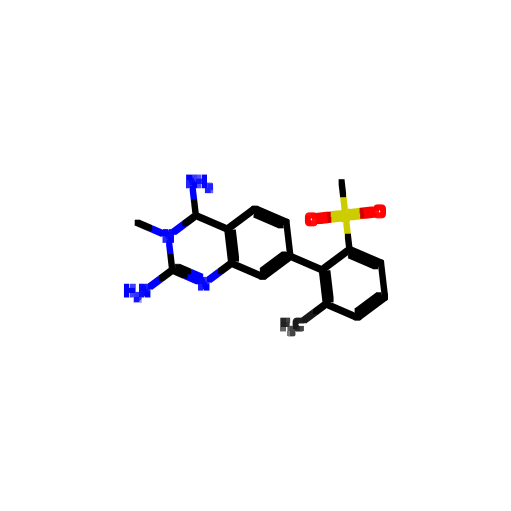 CN1C(N)=Nc2cc(-c3c(C(F)(F)F)cccc3S(C)(=O)=O)ccc2C1N